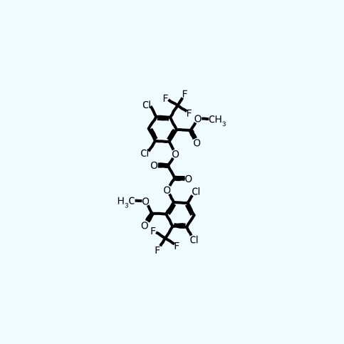 COC(=O)c1c(OC(=O)C(=O)Oc2c(Cl)cc(Cl)c(C(F)(F)F)c2C(=O)OC)c(Cl)cc(Cl)c1C(F)(F)F